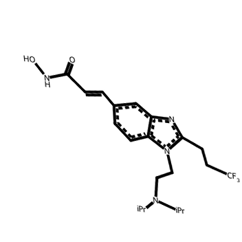 CC(C)N(CCn1c(CCC(F)(F)F)nc2cc(/C=C/C(=O)NO)ccc21)C(C)C